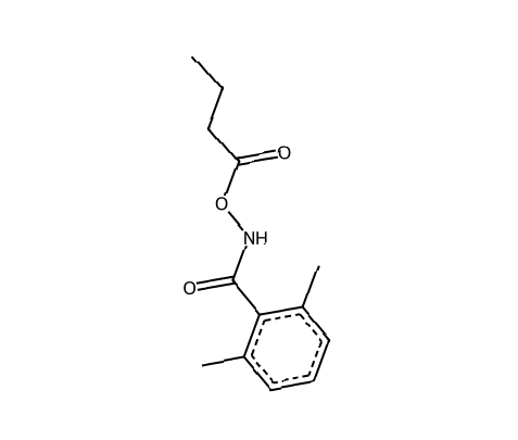 CCCC(=O)ONC(=O)c1c(C)cccc1C